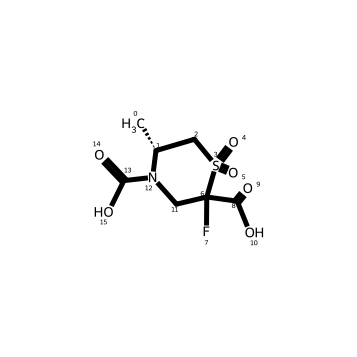 C[C@@H]1CS(=O)(=O)C(F)(C(=O)O)CN1C(=O)O